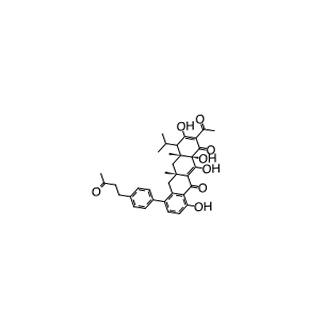 CC(=O)CCc1ccc(-c2ccc(O)c3c2C[C@]2(C)C[C@]4(C)C(C(C)C)C(O)=C(C(C)=O)C(=O)[C@]4(O)C(O)=C2C3=O)cc1